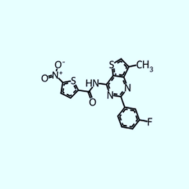 Cc1csc2c(NC(=O)c3ccc([N+](=O)[O-])s3)nc(-c3cccc(F)c3)nc12